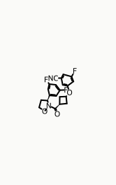 N#Cc1cc(F)cc(O[C@H]2C[C@H](C(=O)N3OCC[C@H]3c3cc(F)cc(F)c3)C2)c1